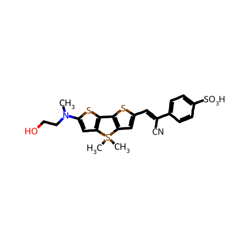 CN(CCO)c1cc2c(s1)-c1sc(/C=C(\C#N)c3ccc(S(=O)(=O)O)cc3)cc1S2(C)C